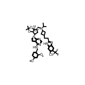 COc1ccc(CNc2ncnc3c2ccn3[C@@H]2C[C@H](CN(C(C)C)C3CC(CCc4nc5cc(C(F)(F)F)c(Cl)cc5[nH]4)C3)[C@H]3OC(C)(C)OC23)c(OC)c1